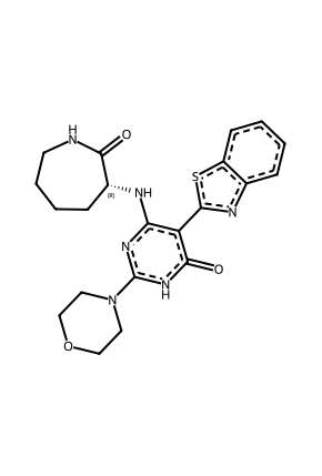 O=C1NCCCC[C@H]1Nc1nc(N2CCOCC2)[nH]c(=O)c1-c1nc2ccccc2s1